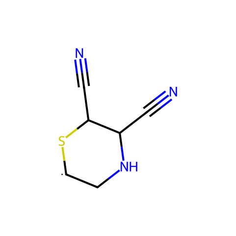 N#CC1NC[CH]SC1C#N